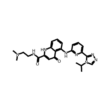 CC(C)n1cnnc1-c1cccc(Nc2cccc3[nH]c(C(=O)NCCN(C)C)cc(=O)c23)n1